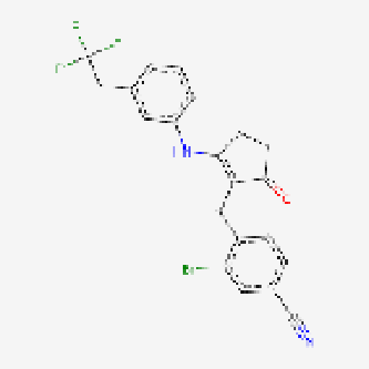 N#Cc1ccc([CH]C2=C(Nc3cccc(CC(F)(F)F)c3)CCC2=O)c(Br)c1